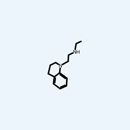 CCNCCN1CCCc2ccccc21